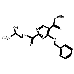 CCOC(=O)C(O)CNC(=O)c1ncc(C(=O)OC(C)(C)C)c(OCc2ccccc2)n1